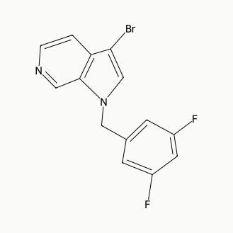 Fc1cc(F)cc(Cn2cc(Br)c3ccncc32)c1